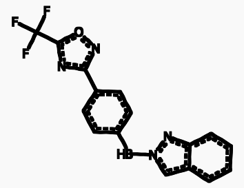 FC(F)(F)c1nc(-c2ccc(Bn3cc4ccccc4n3)cc2)no1